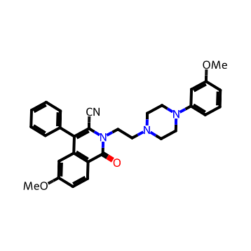 COc1cccc(N2CCN(CCn3c(C#N)c(-c4ccccc4)c4cc(OC)ccc4c3=O)CC2)c1